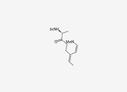 C/C=C(\C=C/NC)CCC(=O)[C@H](C)NC(C)=O